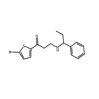 CCC(NCCC(=O)c1ccc(Br)s1)c1ccccc1